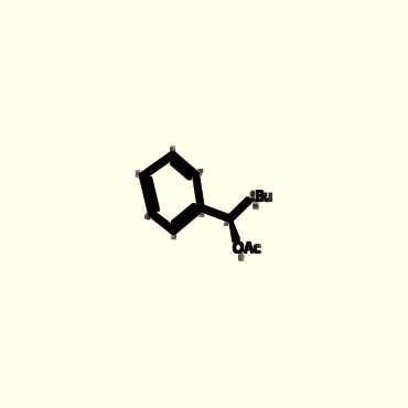 CC(=O)O[C@@H](c1ccccc1)C(C)(C)C